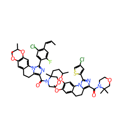 C/C=C\c1cc(F)c(-c2nc(C(=O)N3CCOCC3(C)CCC(C)Oc3cc4c(cc3OC)CCc3c(C(=O)N5CCOCC5(C)C)nc(-c5cc(Cl)cs5)n3-4)c3n2-c2cc(OC(C)C)c(OC)cc2CC3)cc1Cl